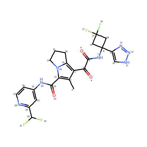 Cc1c(C(=O)C(=O)NC2(c3c[nH]nn3)CC(F)(F)C2)c2n(c1C(=O)Nc1ccnc(C(F)F)c1)CCC2